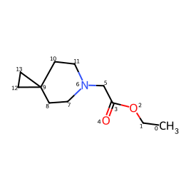 CCOC(=O)CN1CCC2(CC1)CC2